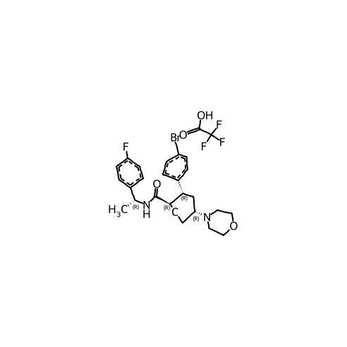 C[C@@H](NC(=O)[C@@H]1CC[C@@H](N2CCOCC2)C[C@H]1c1ccc(Br)cc1)c1ccc(F)cc1.O=C(O)C(F)(F)F